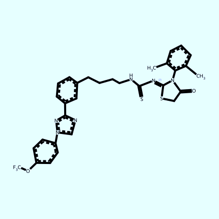 Cc1cccc(C)c1N1C(=O)CS/C1=N\C(=S)NCCCCc1cccc(-c2ncn(-c3ccc(OC(F)(F)F)cc3)n2)c1